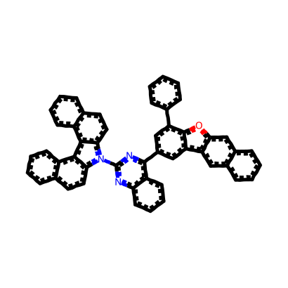 c1ccc(-c2cc(-c3nc(-n4c5ccc6ccccc6c5c5c6ccccc6ccc54)nc4ccccc34)cc3c2oc2cc4ccccc4cc23)cc1